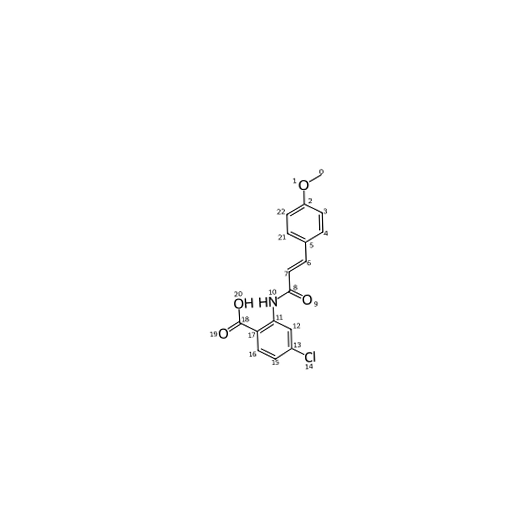 COc1ccc(C=CC(=O)Nc2cc(Cl)ccc2C(=O)O)cc1